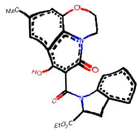 CCOC(=O)C1Cc2ccccc2N1C(=O)c1c(O)c2cc(OC)cc3c2n(c1=O)CCO3